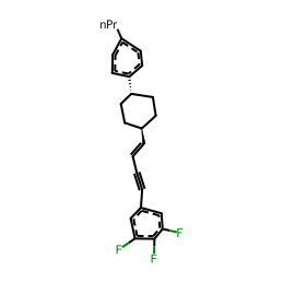 CCCc1ccc([C@H]2CC[C@H](C=CC#Cc3cc(F)c(F)c(F)c3)CC2)cc1